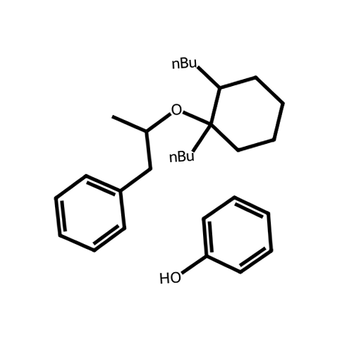 CCCCC1CCCCC1(CCCC)OC(C)Cc1ccccc1.Oc1ccccc1